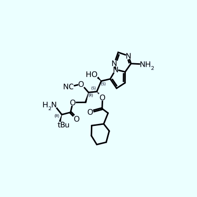 CC(C)(C)[C@@H](N)C(=O)OC[C@@H](OC#N)[C@@H](OC(=O)CC1CCCCC1)[C@@H](O)c1ccc2c(N)ncnn12